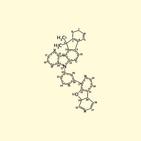 CC1(C)C2=C(C=CCC2)c2ccc3c(c21)c1ccccc1n3-c1cccc(-c2cccc3c2OC2C=CC=CC32)c1